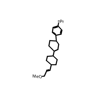 CCCc1ccc(C2CCC(C3CCC(C=CCOC)CC3)CC2)cc1